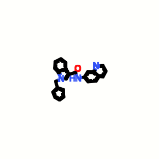 O=C(Nc1ccc2cccnc2c1)c1cn(Cc2ccccc2)c2ccccc12